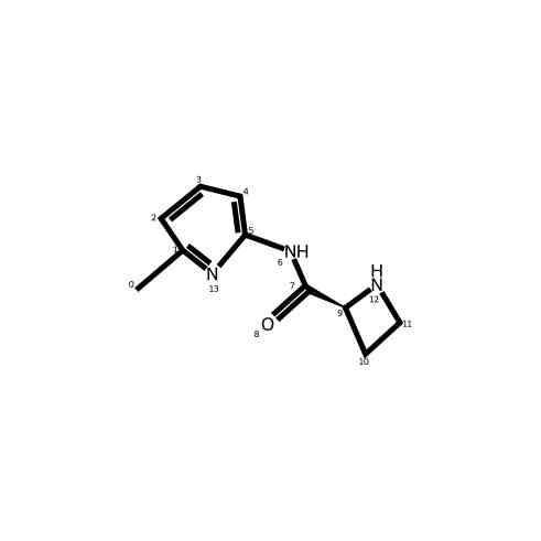 Cc1cccc(NC(=O)[C@@H]2CCN2)n1